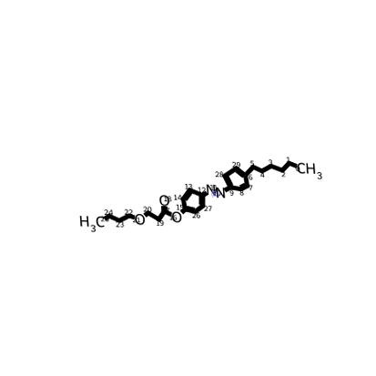 CCCCCCc1ccc(/N=N/c2ccc(OC(=O)CCOCCCC)cc2)cc1